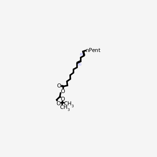 CCCCC/C=C/C/C=C/CCCCCCCC(=O)OCC1COC(C)(C)O1